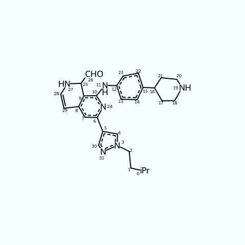 CC(C)CCn1cc(-c2cc3c(c(Nc4ccc(C5CCNCC5)cc4)n2)C(C=O)NC=C3)cn1